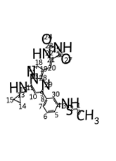 CCSNc1cccc(-c2cc(NC3CC3)n3ncc(/C=C4\NC(=O)NC4=O)c3n2)c1